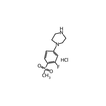 CS(=O)(=O)c1ccc(N2CCNCC2)cc1F.Cl